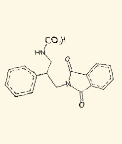 O=C(O)NCC(CN1C(=O)c2ccccc2C1=O)c1ccccc1